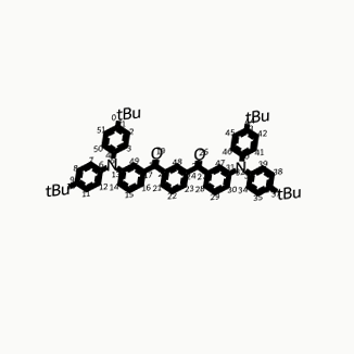 CC(C)(C)c1ccc(N(c2ccc(C(C)(C)C)cc2)c2cccc(C(=O)c3cccc(C(=O)c4cccc(N(c5ccc(C(C)(C)C)cc5)c5ccc(C(C)(C)C)cc5)c4)c3)c2)cc1